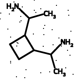 CC(N)C1CCC1C(C)N